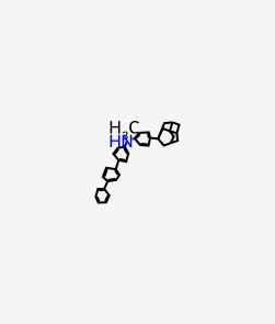 Cc1cc(C23CC4CC5CC(C2)C5(C4)C3)ccc1Nc1ccc(-c2ccc(-c3ccccc3)cc2)cc1